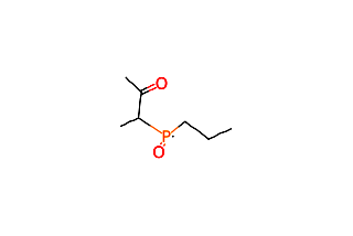 CCC[P](=O)C(C)C(C)=O